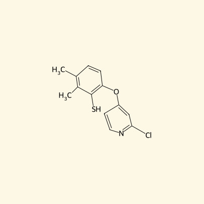 Cc1ccc(Oc2ccnc(Cl)c2)c(S)c1C